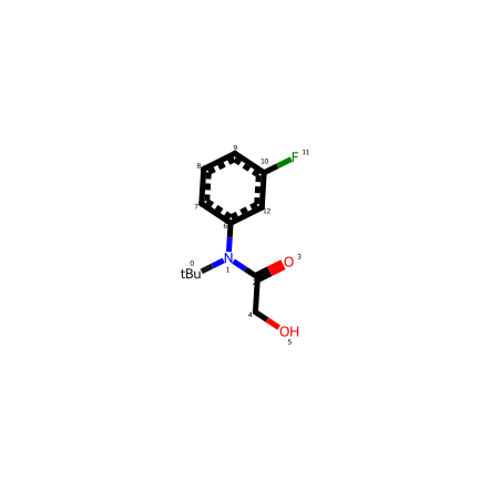 CC(C)(C)N(C(=O)CO)c1cccc(F)c1